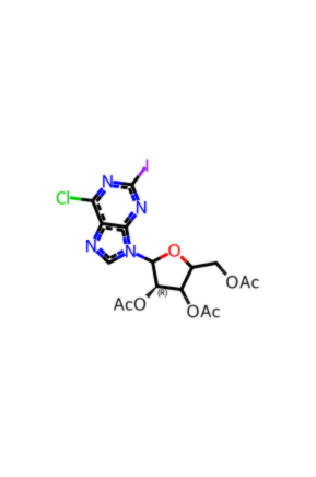 CC(=O)OCC1OC(n2cnc3c(Cl)nc(I)nc32)[C@H](OC(C)=O)C1OC(C)=O